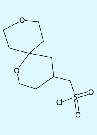 O=S(=O)(Cl)CC1CCOC2(CCOCC2)C1